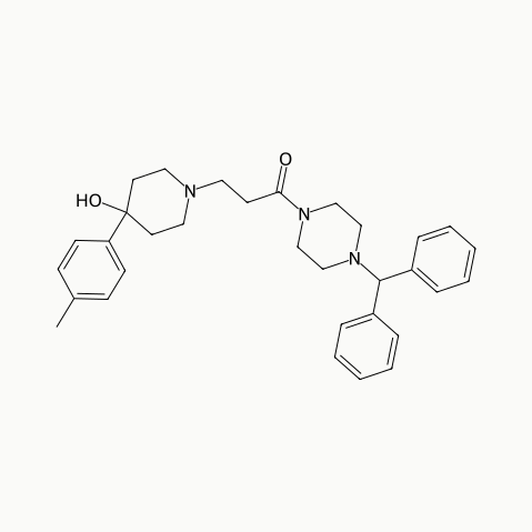 Cc1ccc(C2(O)CCN(CCC(=O)N3CCN(C(c4ccccc4)c4ccccc4)CC3)CC2)cc1